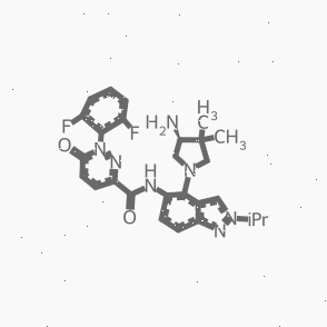 CC(C)n1cc2c(N3C[C@@H](N)C(C)(C)C3)c(NC(=O)c3ccc(=O)n(-c4c(F)cccc4F)n3)ccc2n1